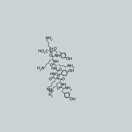 NCCCC[C@H](NC(=O)[C@H](Cc1ccc(O)cc1)NC(=O)[C@H](CCCCN)NC(=O)[C@H](CCCCN)NC(=O)[C@H](Cc1ccc(O)cc1)NC(=O)[C@H](CCCCN)NC(=O)[C@H](CCCCN)NC(=O)[C@@H](N)Cc1ccc(O)cc1)C(=O)O